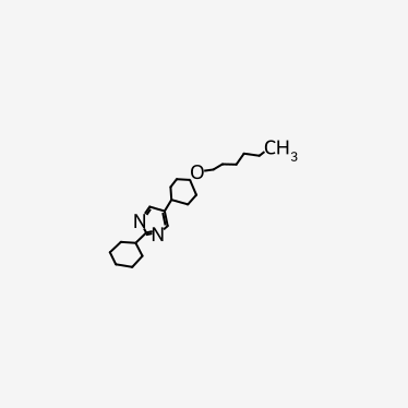 CCCCCCOC1CCC(c2cnc(C3CCCCC3)nc2)CC1